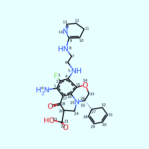 Nc1c(F)c(NCCNC2=CCCC=N2)c2c3c1C(=O)C(C(=O)O)CN3[C@@H](C1C=CC=CC1)CO2